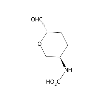 O=C[C@@H]1CC[C@@H](NC(=O)O)CO1